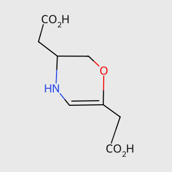 O=C(O)CC1=CNC(CC(=O)O)CO1